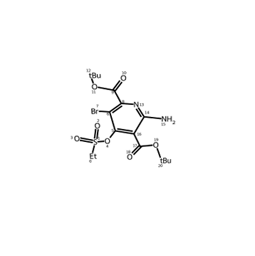 CCS(=O)(=O)Oc1c(Br)c(C(=O)OC(C)(C)C)nc(N)c1C(=O)OC(C)(C)C